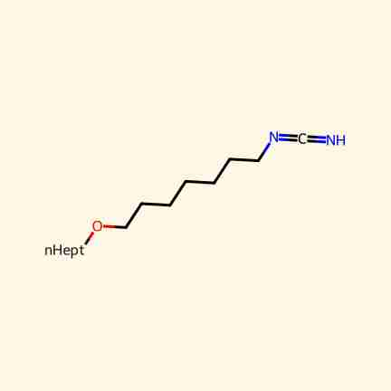 CCCCCCCOCCCCCCCN=C=N